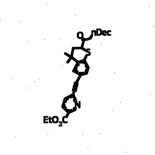 CCCCCCCCCCCC(=O)C1CC(C)(C)c2cc(C#Cc3ccc(C(=O)OCC)cn3)ccc2S1